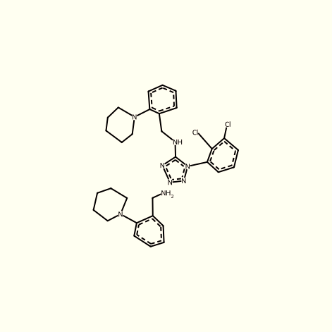 Clc1cccc(-n2nnnc2NCc2ccccc2N2CCCCC2)c1Cl.NCc1ccccc1N1CCCCC1